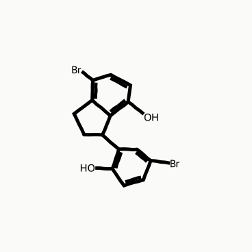 Oc1ccc(Br)cc1C1CCc2c(Br)ccc(O)c21